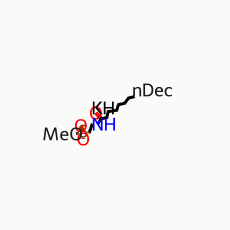 CCCCCCCCCCCCCCCCCC(=O)NCCS(=O)(=O)OC.[KH]